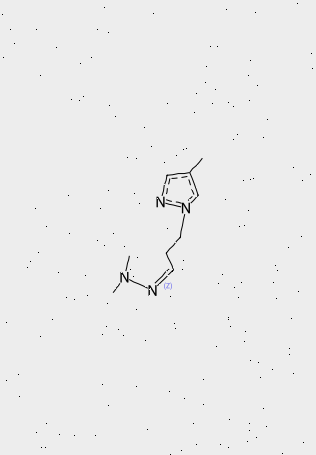 Cc1cnn(CC/C=N\N(C)C)c1